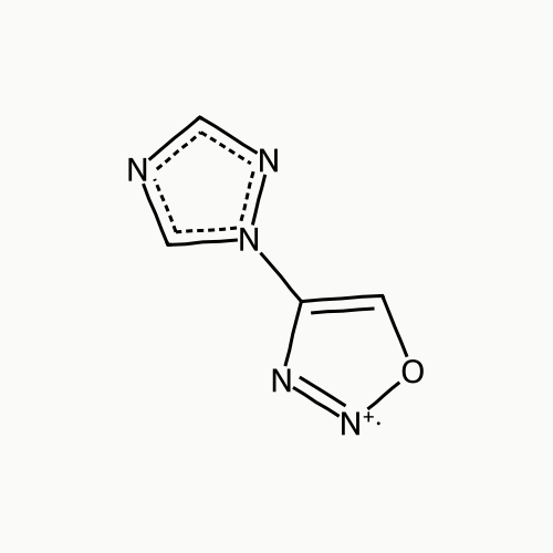 C1=C(n2cncn2)N=[N+]O1